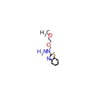 COCCOCN(N)c1nc2ccccc2s1